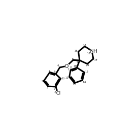 Clc1cccc(COCC2(c3ccccc3)CCNCC2)c1